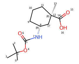 CC(C)(C)OC(=O)N[C@@H]1CCC[C@@](C)(C(=O)O)C1